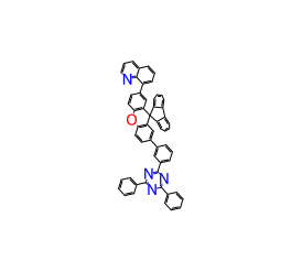 c1ccc(-c2nc(-c3ccccc3)nc(-c3cccc(-c4ccc5c(c4)C4(c6cc(-c7cccc8cccnc78)ccc6O5)c5ccccc5-c5ccccc54)c3)n2)cc1